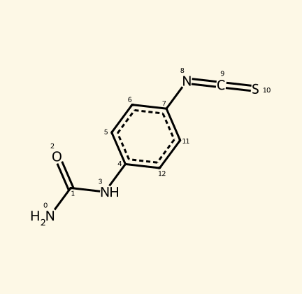 NC(=O)Nc1ccc(N=C=S)cc1